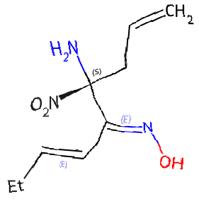 C=CC[C@@](N)(C(/C=C/CC)=N/O)[N+](=O)[O-]